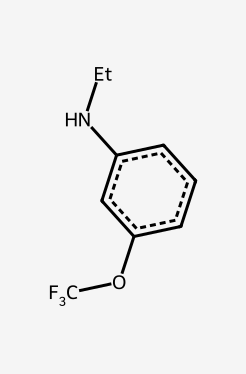 [CH2]CNc1cccc(OC(F)(F)F)c1